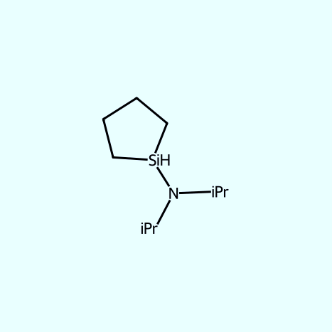 CC(C)N(C(C)C)[SiH]1CCCC1